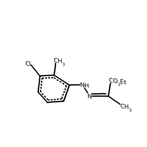 CCOC(=O)/C(C)=N\Nc1cccc(Cl)c1C